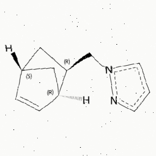 C1=C[C@H]2C[C@H]1C[C@H]2Cn1cccn1